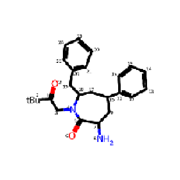 CC(C)(C)C(=O)CN1C(=O)C(N)CC(c2ccccc2)CC1Cc1ccccc1